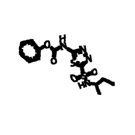 CCC(C)NS(=O)(=O)c1nnc(NC(=O)Oc2ccccc2)s1